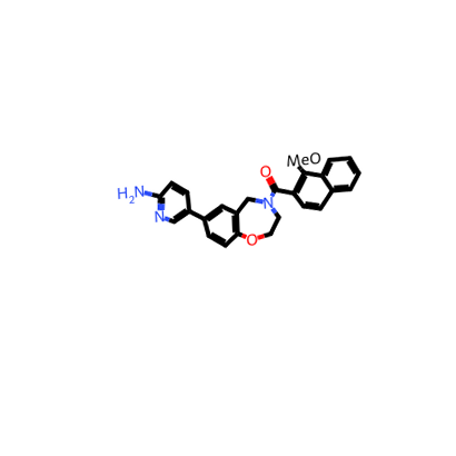 COc1c(C(=O)N2CCOc3ccc(-c4ccc(N)nc4)cc3C2)ccc2ccccc12